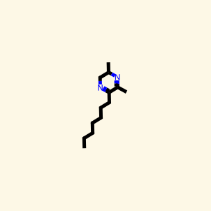 CCCCCCCC1=NCC(C)N=C1C